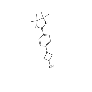 CC1(C)OB(c2ccc(N3CC(O)C3)cc2)OC1(C)C